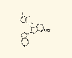 CC1=CC[C]([Ti+2][CH]2C(n3ccc4ccccc43)=Cc3ccccc32)=C1C.[Cl-].[Cl-]